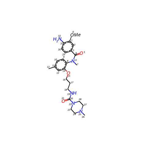 COc1cc(C(=O)N(C)c2ccc(C)cc2OCCCNC(=O)N2CCN(C)CC2)ccc1N